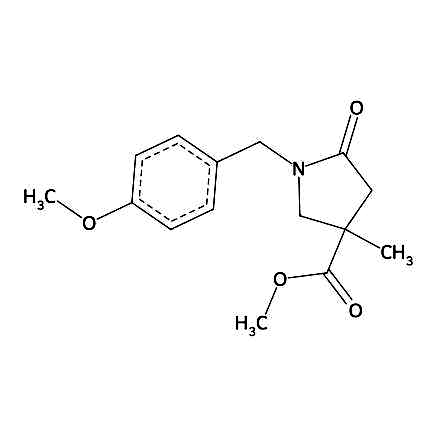 COC(=O)C1(C)CC(=O)N(Cc2ccc(OC)cc2)C1